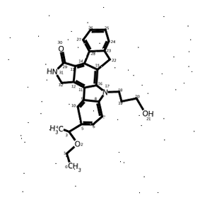 CCOC(C)c1ccc2c(c1)c1c3c(c4c(c1n2CCCO)Cc1ccccc1-4)C(=O)NC3